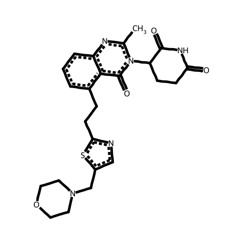 Cc1nc2cccc(CCc3ncc(CN4CCOCC4)s3)c2c(=O)n1C1CCC(=O)NC1=O